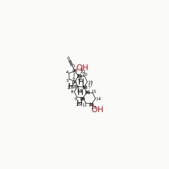 C#C[C@@]1(O)CC[C@H]2[C@@H]3CC[C@H]4C[C@H](O)CC[C@]4(C)[C@H]3CC[C@@]21C